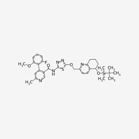 COc1cccc(F)c1-c1cc(C)ncc1C(=O)Nc1nnc(OCc2ccc3c(n2)CCCC3O[Si](C)(C)C(C)(C)C)s1